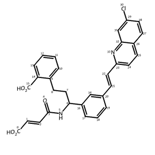 O=C(O)C=CC(=O)NC(CCc1ccccc1C(=O)O)c1cccc(/C=C/c2ccc3ccc(Cl)cc3n2)c1